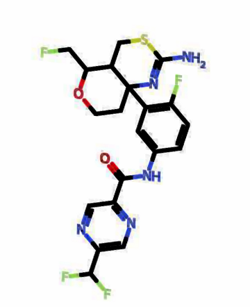 NC1=NC2(c3cc(NC(=O)c4cnc(C(F)F)cn4)ccc3F)CCOC(CF)C2CS1